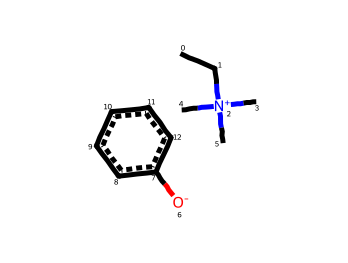 CC[N+](C)(C)C.[O-]c1ccccc1